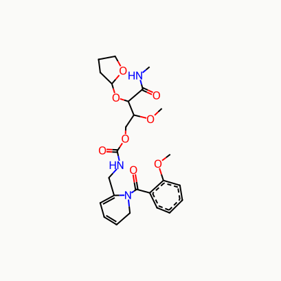 CNC(=O)C(OC1CCCO1)C(COC(=O)NCC1=CC=CCN1C(=O)c1ccccc1OC)OC